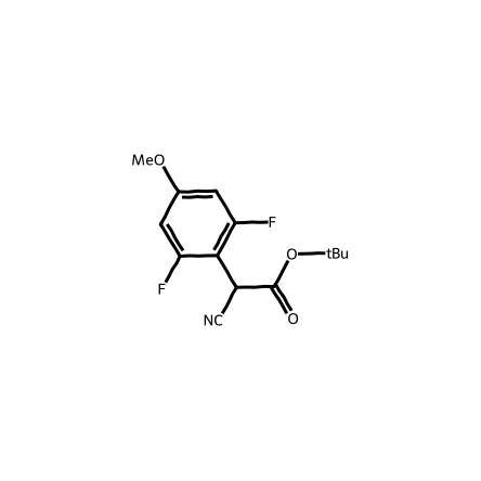 COc1cc(F)c(C(C#N)C(=O)OC(C)(C)C)c(F)c1